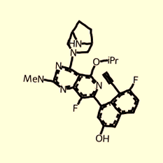 C#Cc1c(F)ccc2cc(O)cc(-c3nc(OC(C)C)c4c(N5CC6CCC(C5)N6)nc(NC)nc4c3F)c12